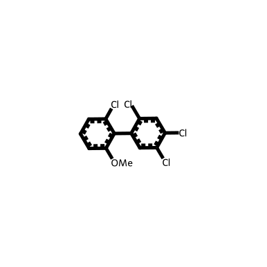 COc1cccc(Cl)c1-c1cc(Cl)c(Cl)cc1Cl